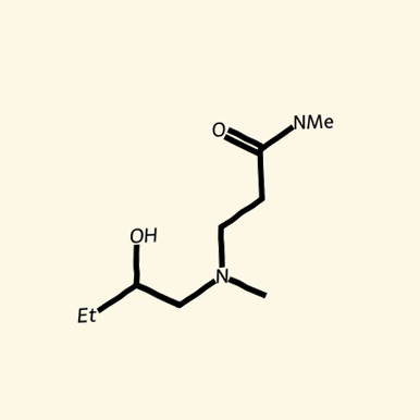 CCC(O)CN(C)CCC(=O)NC